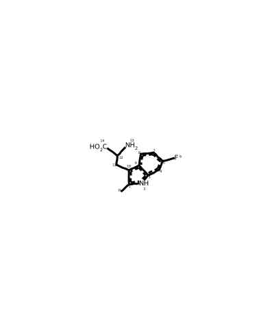 Cc1[nH]c2cc(F)ccc2c1CC(N)C(=O)O